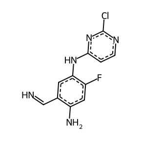 N=Cc1cc(Nc2ccnc(Cl)n2)c(F)cc1N